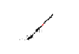 CCC=CCC=CCC=CCC=CCC=CCC=CCCC(=O)NCCSSCCNC(=O)C=CC(=O)OC